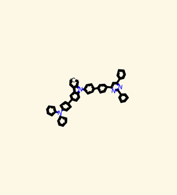 c1ccc(-c2cc(-c3ccc(-c4ccc(-n5c6ccccc6c6cc(-c7ccc(N(c8ccccc8)c8ccccc8)cc7)ccc65)cc4)cc3)nc(-c3ccccc3)n2)cc1